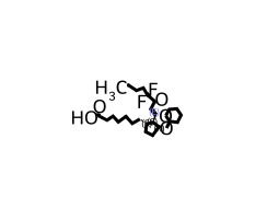 CCCCC(F)(F)C(=O)/C=C/[C@@H]1[C@@H](CCCCCCC(=O)O)CC[C@H]1OC1CCCCO1